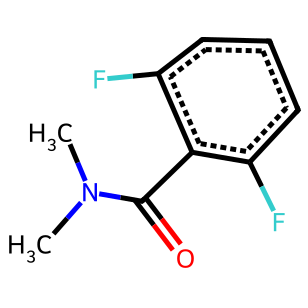 CN(C)C(=O)c1c(F)cccc1F